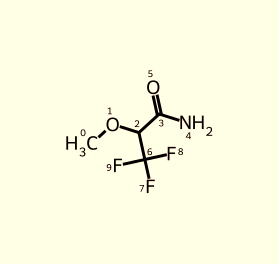 COC(C(N)=O)C(F)(F)F